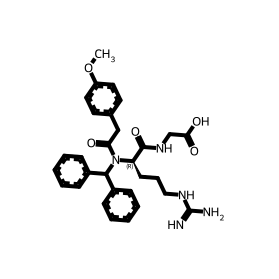 COc1ccc(CC(=O)N(C(c2ccccc2)c2ccccc2)[C@H](CCCNC(=N)N)C(=O)NCC(=O)O)cc1